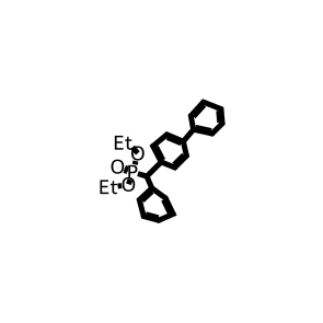 CCOP(=O)(OCC)C(c1ccccc1)c1ccc(-c2ccccc2)cc1